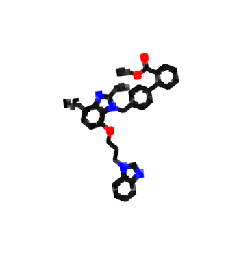 CCCCc1nc2c(C)ccc(OCCCn3cnc4ccccc43)c2n1Cc1ccc(-c2ccccc2C(=O)OC(C)(C)C)cc1